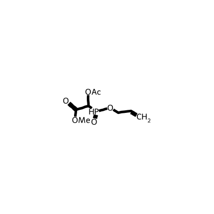 C=CCO[PH](=O)C(OC(C)=O)C(=O)OC